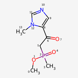 COP(C)(=O)CC(=O)c1cncn1C